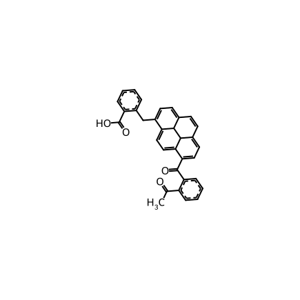 CC(=O)c1ccccc1C(=O)C1=CC=C2C=CC3=CC=C(Cc4ccccc4C(=O)O)C4=CC=C1C2C34